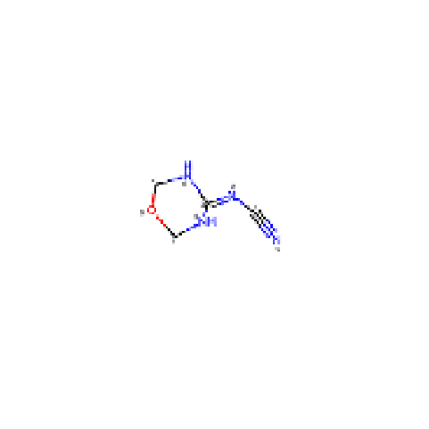 N#CN=C1NCOCN1